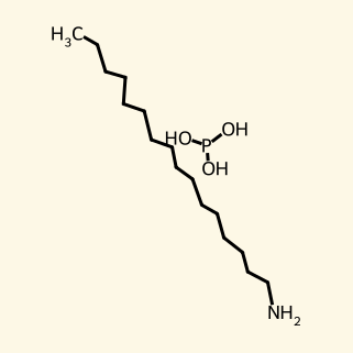 CCCCCCCCCCCCCCCCN.OP(O)O